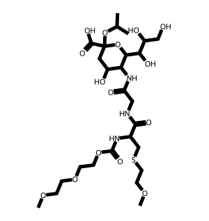 COCCOCCOC(=O)NC(CSCCOC)C(=O)NCC(=O)NC1C(O)CC(OC(C)C)(C(=O)O)OC1C(O)C(O)CO